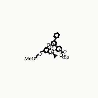 COCCOCc1cc(CN(C(=O)[C@H]2CN(C(=O)OC(C)(C)C)CC[C@@H]2c2cccc(-c3ccccc3)c2)C2CC2)cc(OC)c1